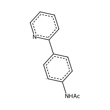 CC(=O)Nc1[c]cc(-c2ccccn2)cc1